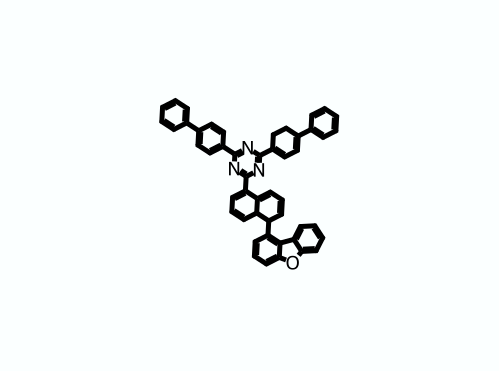 C1=CC2C(=CC=CC2c2cccc3oc4ccccc4c23)C(c2nc(C3=CC=C(c4ccccc4)CC3)nc(-c3ccc(-c4ccccc4)cc3)n2)=C1